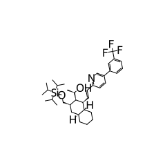 CC(C)[Si](OC[C@@H]1C[C@@H]2CCCC[C@H]2[C@H](/C=C/c2ccc(-c3cccc(C(F)(F)F)c3)cn2)[C@@H]1[C@@H](C)O)(C(C)C)C(C)C